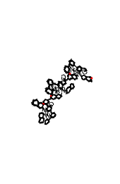 c1ccc2cc(N3c4ccc5cc(-c6cccc7c6oc6cc8c9c(c67)N(c6ccc7ccccc7c6)c6ccc7ccccc7c6B9n6c7ccccc7c7cccc-8c76)ccc5c4B4c5c(cc6oc(-c7ccc8c9c(ccc8c7)N(c7ccc8ccccc8c7)c7c8c(cc%10ccoc7%10)-c7cccc%10c%11ccccc%11n(c7%10)B89)cc6c53)-c3cccc5c6ccccc6n4c35)ccc2c1